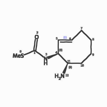 CSC(=O)N[C@H]1/C=C/CCCC[C@H]1N